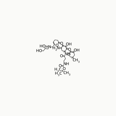 C[C@@H]1CO[C@H](O[C@@H]2[C@@H](O)[C@H](O[C@@H]3CCC=C(CNCC(O)CO)O3)[C@@H](N)C[C@H]2NC(=O)CCNC(=O)OC(C)(C)C)[C@H](O)C1